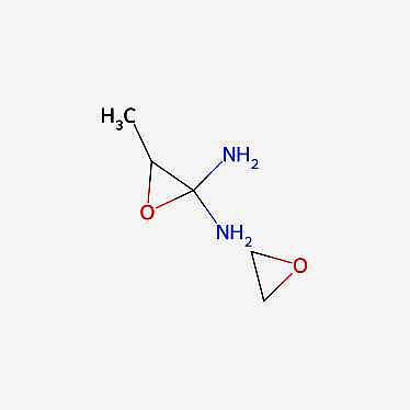 C1CO1.CC1OC1(N)N